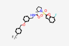 O=C(NCc1cccc(OCc2ccc(C(F)(F)F)cc2)c1)[C@@H]1CCCN1S(=O)(=O)c1cc2cccc(F)c2o1